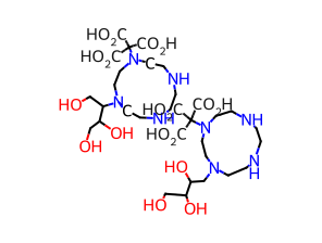 O=C(O)C(C(=O)O)(C(=O)O)N1CCNCCNCCN(C(CO)C(O)CO)CC1.O=C(O)C(C(=O)O)(C(=O)O)N1CCNCCNCCN(CC(O)C(O)CO)CC1